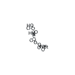 CCc1ccccc1NC(=O)OCCOc1ccc(/C=N/NC(=O)c2ccc(O)c(Cl)c2)c2ccccc12